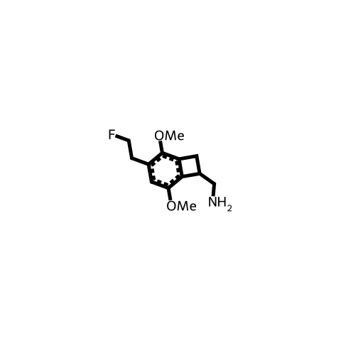 COc1cc(CCF)c(OC)c2c1C(CN)C2